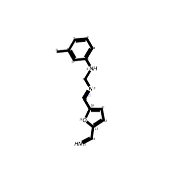 Cc1cccc(NC/N=C/c2ccc(C=N)o2)c1